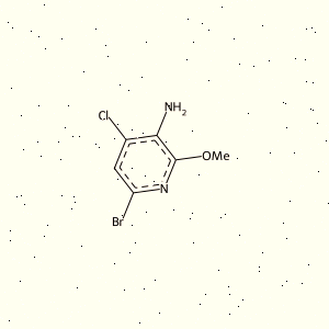 COc1nc(Br)cc(Cl)c1N